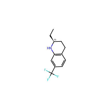 CC[C@H]1CCc2ccc(C(F)(F)F)cc2N1